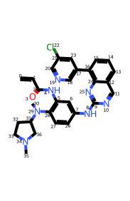 C=CC(=O)Nc1cc(Nc2ncc3cccc(-c4cncc(Cl)c4)c3n2)ccc1N(C)C1CCN(C)C1